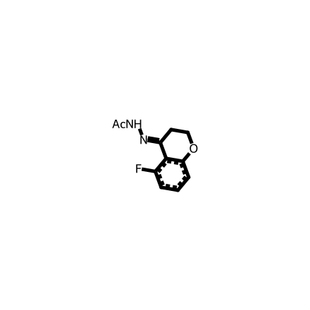 CC(=O)N/N=C1\CCOc2cccc(F)c21